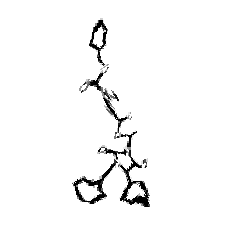 CC(OC(=O)CNC(=O)OCc1ccccc1)N1C(=O)C(c2ccccc2)N(c2ccccc2)C1=O